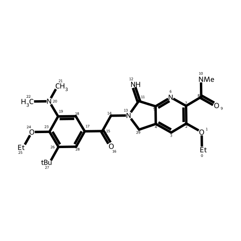 CCOc1cc2c(nc1C(=O)NC)C(=N)N(CC(=O)c1cc(N(C)C)c(OCC)c(C(C)(C)C)c1)C2